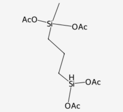 CC(=O)O[SiH](CCC[Si](C)(OC(C)=O)OC(C)=O)OC(C)=O